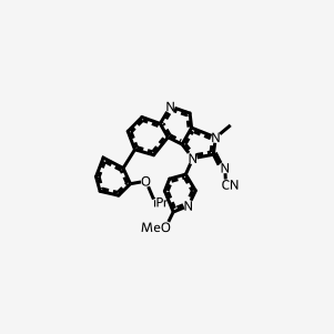 COc1ccc(-n2c(=NC#N)n(C)c3cnc4ccc(-c5ccccc5OC(C)C)cc4c32)cn1